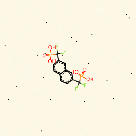 O=P(O)(O)C(F)(F)c1ccc2ccc(C(F)(F)P(=O)(O)O)cc2c1